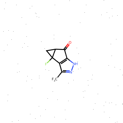 O=C1c2[nH]nc(C(F)(F)F)c2C2(F)CC12